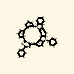 c1ccc(-c2nc3nc(n2)c2ccc4c(c2)c2cc5c(cc2n4-c2ccccc2)c2ccccc2n5c2cccc(c2)c2cccc3c2)cc1